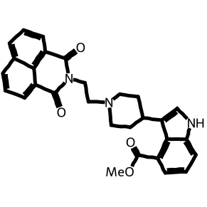 COC(=O)c1cccc2[nH]cc(C3CCN(CCN4C(=O)c5cccc6cccc(c56)C4=O)CC3)c12